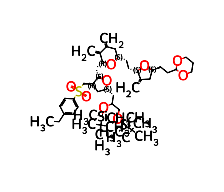 C=C1C[C@H](CC[C@@H]2O[C@@H](CCC3OCCCO3)CC2=C)O[C@H](C[C@@H]2O[C@H](CC(CO[Si](C)(C)C(C)(C)C)O[Si](C)(C)C(C)(C)C)C[C@H]2CS(=O)(=O)c2ccc(CC)cc2)C1=C